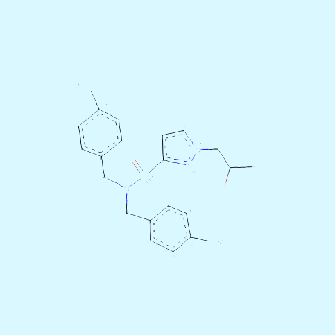 CCC(O)Cn1ccc(S(=O)(=O)N(Cc2ccc(OC)cc2)Cc2ccc(OC)cc2)n1